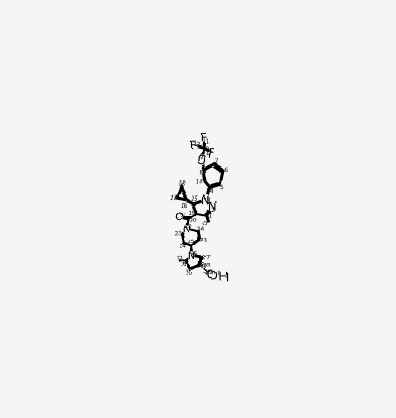 CC1=NN(C2=CC=CC(OC(F)(F)F)C2)C(C2CC2)C1C(=O)N1CCC(N2C[C@H](O)C[C@H]2C)CC1